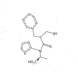 C[C@@H](C(=O)O)N(C(=O)C(CS)Cc1ccccc1)c1cccs1